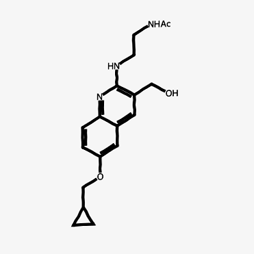 CC(=O)NCCNc1nc2ccc(OCC3CC3)cc2cc1CO